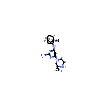 CC1CN(c2cc(N[C@H]3C[C@H]4CC[C@@H]3C4)nc(N)n2)CCN1